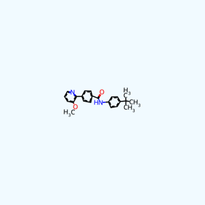 COc1cccnc1-c1ccc(C(=O)Nc2ccc(C(C)(C)C)cc2)cc1